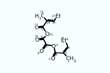 CCC=C(C)C(=O)OC(=O)C(=O)OC(=O)C(C)=CCC